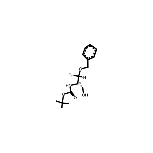 [2H]C([2H])(OCc1ccccc1)[C@H](CO)NC(=O)OC(C)(C)C